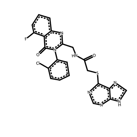 O=C(CSc1ncnc2[nH]cnc12)NCc1nc2cccc(F)c2c(=O)n1-c1ccccc1Cl